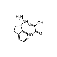 NNC1CCc2ccccc21.O=C(O)C(=O)O